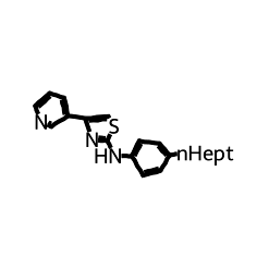 CCCCCCCc1ccc(Nc2nc(-c3cccnc3)cs2)cc1